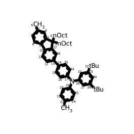 CCCCCCCCC1(CCCCCCCC)c2cc(C)ccc2-c2ccc(-c3ccc(N(c4ccc(C)cc4)c4cc(C(C)(C)C)cc(C(C)(C)C)c4)cc3)cc21